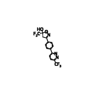 OC1(C(F)(F)F)CC(c2ccc(-c3ccc(C(F)(F)F)nn3)cc2)=NO1